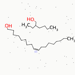 CCCCC(CC)CO.CCCCCCCC/C=C\CCCCCCCCO